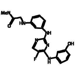 CNC(=O)CNc1cccc(Nc2ncc(F)c(Nc3cccc(O)c3)n2)c1